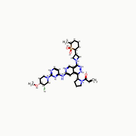 C=CC(=O)N1CCCC1c1nnc(N2CC(C3CCCC(C)S3(=O)=O)C2)c2cnc(Nc3ccnc(N4CC[C@@H](OC)[C@@H](F)C4)n3)cc12